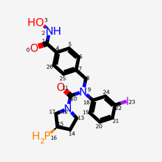 O=C(NO)c1ccc(CN(C(=O)N2CC[C@@H](P)C2)c2cccc(I)c2)cc1